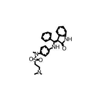 CN(C)CCS(=O)(=O)N(C)c1ccc(N/C(=C2\C(=O)Nc3ccccc32)c2ccccc2)cc1